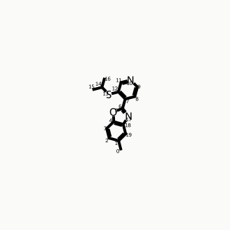 Cc1ccc2oc(-c3ccncc3SC(C)C)nc2c1